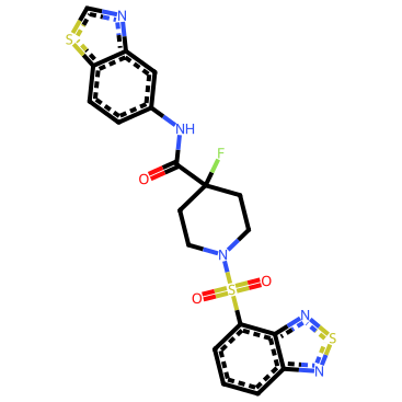 O=C(Nc1ccc2scnc2c1)C1(F)CCN(S(=O)(=O)c2cccc3nsnc23)CC1